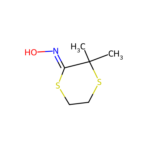 CC1(C)SCCSC1=NO